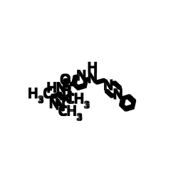 Cc1nn(C)c(C)c1N[SH](=O)(I)c1ccc(NCCN2CCN(c3ccccc3)CC2)nc1